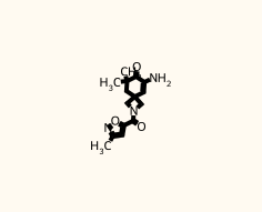 Cc1cc(C(=O)N2CC3(C=C(N)C(=O)C(C)(C)C3)C2)on1